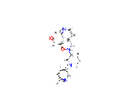 Cc1ccc(N2CCC[C@H](N(Cc3ccnc(C)c3)OCCO)C2)cn1